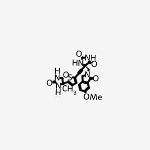 COc1ccc2c(c1)C(=O)N(C[C@@]1(C#Cc3ccc(C4(C)NC(=O)NC4=O)s3)NC(=O)NC1=O)C2